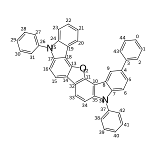 c1ccc(-c2ccc3c(c2)c2c4oc5c(ccc6c5c5ccccc5n6-c5ccccc5)c4ccc2n3-c2ccccc2)cc1